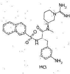 CN(C(=O)C(Cc1cccc(N)c1)NS(=O)(=O)c1ccc2ccccc2c1)[C@H]1CCCN(C(=N)N)C1.Cl